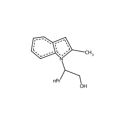 CCCC(CO)n1c(C)cc2ccccc21